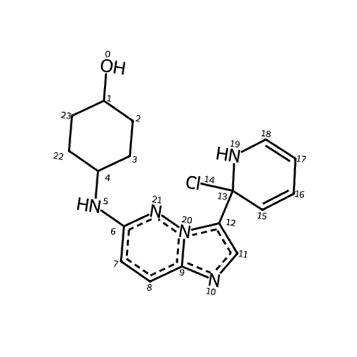 OC1CCC(Nc2ccc3ncc(C4(Cl)C=CC=CN4)n3n2)CC1